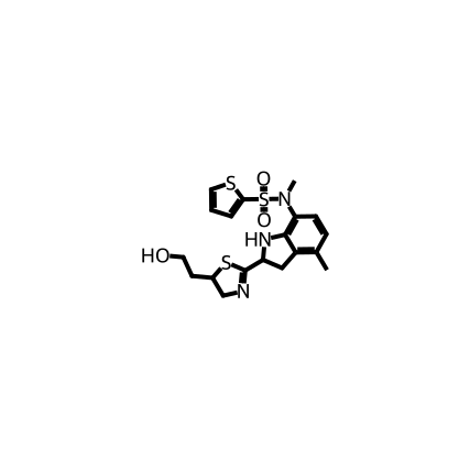 Cc1ccc(N(C)S(=O)(=O)c2cccs2)c2c1CC(C1=NCC(CCO)S1)N2